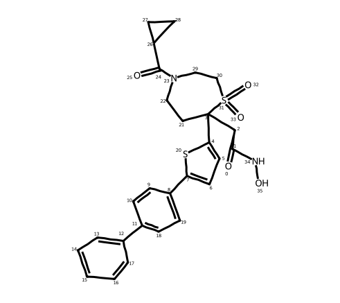 O=C(CC1(c2ccc(-c3ccc(-c4ccccc4)cc3)s2)CCN(C(=O)C2CC2)CCS1(=O)=O)NO